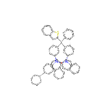 c1ccc(-c2ccc(N(c3ccccc3)c3ccc4c(c3)C3(c5ccccc5-c5ccc(N(c6ccccc6)c6cccc7ccccc67)cc53)c3sc5ccccc5c3-4)cc2)cc1